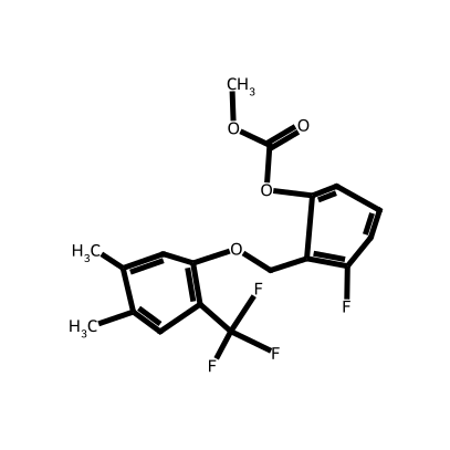 COC(=O)Oc1cccc(F)c1COc1cc(C)c(C)cc1C(F)(F)F